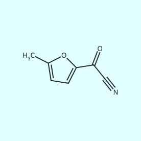 Cc1ccc(C(=O)C#N)o1